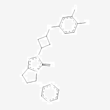 O=c1n(C2CC(Oc3ccc(F)c(F)c3)C2)nc2n1[C@H](c1cnccn1)CC2